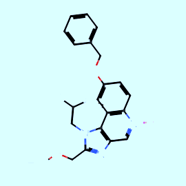 COCc1nc2c[n+]([O-])c3ccc(OCc4ccccc4)cc3c2n1CC(C)C